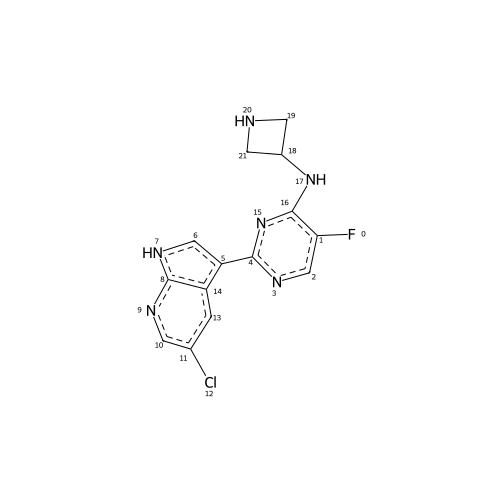 Fc1cnc(-c2c[nH]c3ncc(Cl)cc23)nc1NC1CNC1